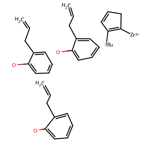 C=CCc1ccccc1[O-].C=CCc1ccccc1[O-].C=CCc1ccccc1[O-].CC(C)(C)C1=[C]([Zr+3])CC=C1